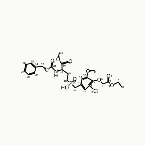 CCOC(=O)COc1c(Cl)cc(CP(=O)(O)CCC(NC(=O)OCc2ccccc2)C(=O)OC)cc1OC